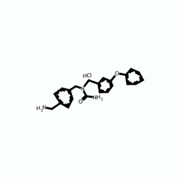 Cl.NCc1ccc(CN(Cc2cccc(Oc3ccccc3)c2)C(N)=O)cc1